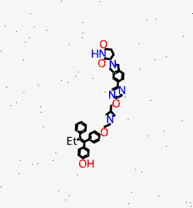 CCC(=C(c1ccc(O)cc1)c1ccc(OCCN2CC(COc3cnc(-c4ccc5c(c4)CN(C4CCC(=O)NC4=O)C5)cn3)C2)cc1)c1ccccc1